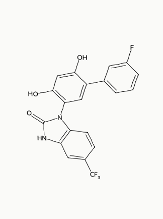 O=c1[nH]c2cc(C(F)(F)F)ccc2n1-c1cc(-c2cccc(F)c2)c(O)cc1O